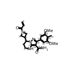 C=CC(=O)N1CC(C2CCNc3c(C(N)=O)c(-c4cc(OC)c(C)c(OC)c4)nn32)C1